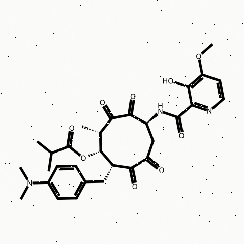 COc1ccnc(C(=O)N[C@H]2CC(=O)C(=O)[C@H](Cc3ccc(N(C)C)cc3)[C@H](OC(=O)C(C)C)[C@H](C)C(=O)C2=O)c1O